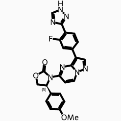 COc1ccc([C@H]2COC(=O)N2c2ccn3ncc(-c4ccc(-c5nc[nH]n5)c(F)c4)c3n2)cc1